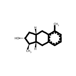 Cc1cccc2c1C[C@H]1C[C@@H](O)[C@H](C)[C@H]1C2